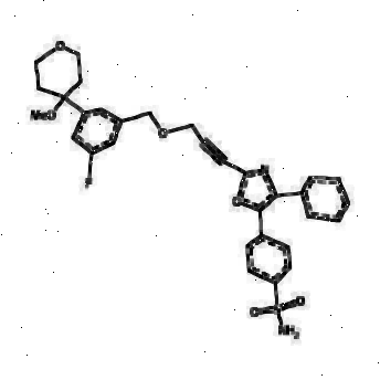 COC1(c2cc(F)cc(COCC#Cc3nc(-c4ccccc4)c(-c4ccc(S(N)(=O)=O)cc4)o3)c2)CCOCC1